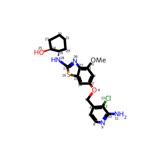 COc1cc(OCc2ccnc(N)c2Cl)cc2sc(N[C@H]3CCCC[C@@H]3O)nc12